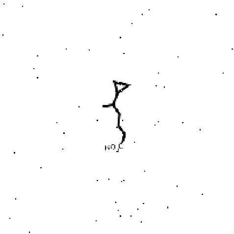 CC(CCCC(=O)O)C1CC1